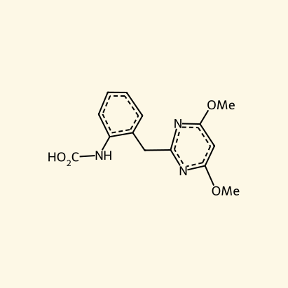 COc1cc(OC)nc(Cc2ccccc2NC(=O)O)n1